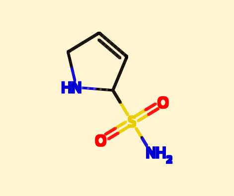 NS(=O)(=O)C1C=CCN1